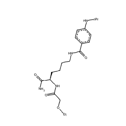 CCCNc1ccc(C(=O)NCCCC[C@@H](NC(=O)COCC)C(N)=O)cc1